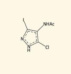 CC(=O)Nc1c(I)n[nH]c1Cl